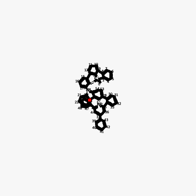 C[Si]1(C)c2ccccc2-c2cccc(-c3cccc(-n4c5ccccc5c5cc(-c6ccccc6-c6cc(-c7ccccc7)cc(-c7ccccc7)n6)ccc54)c3)c21